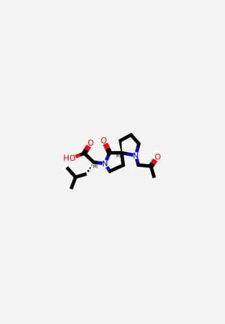 CC(=O)CN1CCC[C@]12CCN([C@H](CC(C)C)C(=O)O)C2=O